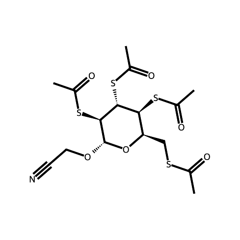 CC(=O)SC[C@H]1O[C@H](OCC#N)[C@@H](SC(C)=O)[C@H](SC(C)=O)[C@H]1SC(C)=O